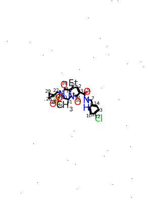 CCc1cc(C(=O)NCc2ccc(Cl)cc2)c(=O)n2c1C(=O)N(CC1(S(C)(=O)=O)CC1)CC2